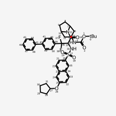 CC(C)(C)OC(=O)NC1CC2CCC(C1)N2C(=O)C(NS(=O)(=O)c1ccc2cc(OC3CCCC3)ccc2c1)C(F)(F)c1ccc(-c2ccccc2)cc1